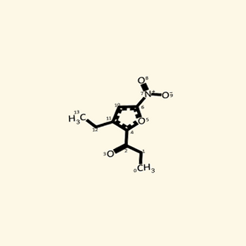 CCC(=O)c1oc([N+](=O)[O-])cc1CC